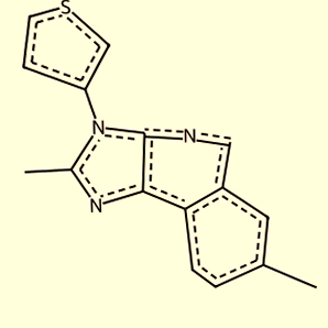 Cc1ccc2c(cnc3c2nc(C)n3-c2ccsc2)c1